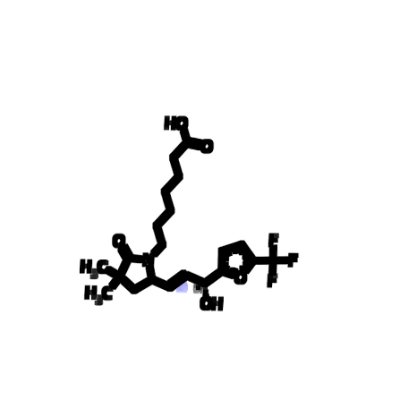 CC1(C)CC(/C=C/[C@@H](O)c2ccc(C(F)(F)F)o2)N(CCCCCCC(=O)O)C1=O